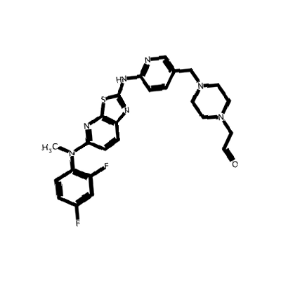 CN(c1ccc2nc(Nc3ccc(CN4CCN(CC=O)CC4)cn3)sc2n1)c1ccc(F)cc1F